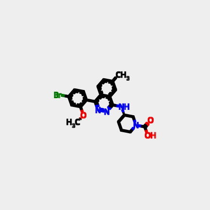 COc1cc(Br)ccc1-c1nnc(N[C@@H]2CCCN(C(=O)O)C2)c2cc(C)ccc12